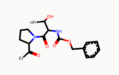 CCCC(O)C(NC(=O)OCc1ccccc1)C(=O)N1CCCC1C(=O)CC